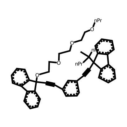 CCCOCCOCCOCCOC1(C#Cc2cccc(C#CC3(C(C)(CCC)CCC)c4ccccc4-c4ccccc43)c2)c2ccccc2-c2ccccc21